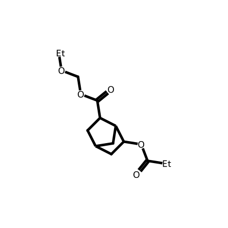 CCOCOC(=O)C1CC2CC(OC(=O)CC)C1C2